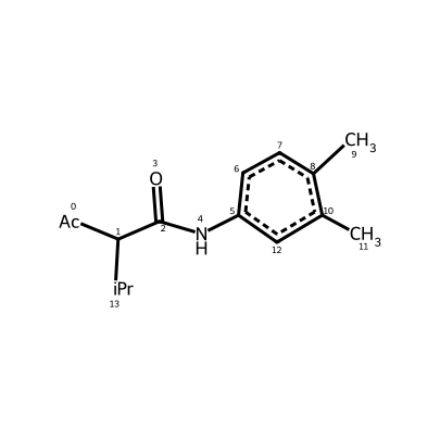 CC(=O)C(C(=O)Nc1ccc(C)c(C)c1)C(C)C